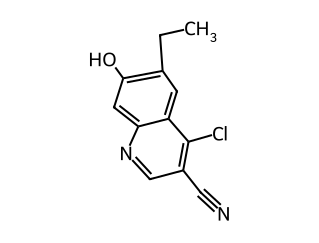 CCc1cc2c(Cl)c(C#N)cnc2cc1O